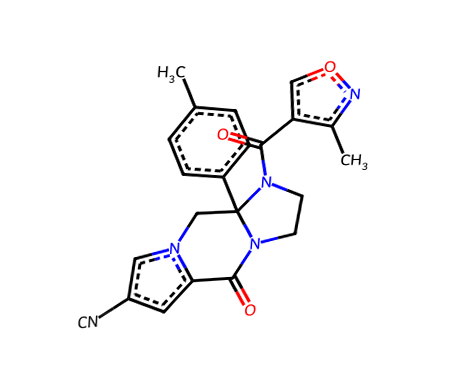 [C-]#[N+]c1cc2n(c1)CC1(c3ccc(C)cc3)N(C(=O)c3conc3C)CCN1C2=O